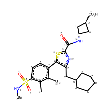 Cc1c(S(=O)(=O)NC(C)(C)C)ccc(-c2sc(C(=O)N[C@H]3C[C@H](C(=O)O)C3)nc2CC2CCCCC2)c1C(F)(F)F